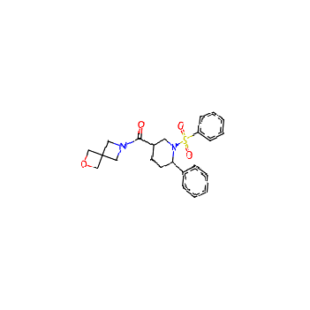 O=C(C1CCC(c2ccccc2)N(S(=O)(=O)c2ccccc2)C1)N1CC2(COC2)C1